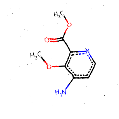 COC(=O)c1nccc(N)c1OC